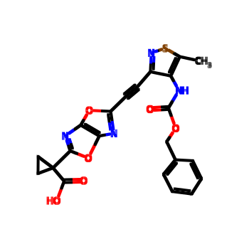 Cc1snc(C#Cc2nc3oc(C4(C(=O)O)CC4)nc3o2)c1NC(=O)OCc1ccccc1